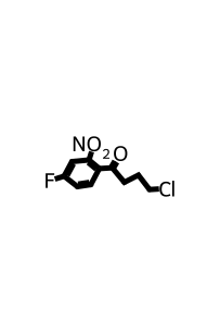 O=C(CCCCl)c1ccc(F)cc1[N+](=O)[O-]